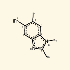 Cc1cc2c(cc1C(C)C)nc(C)n2C